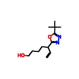 C=CC(CCCCO)c1nnc(C(C)(C)C)o1